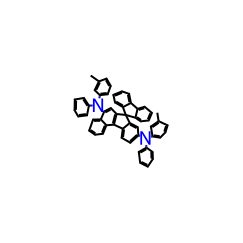 Cc1cccc(N(c2ccccc2)c2ccc3c(c2)C2(c4ccccc4-c4ccccc42)c2cc(N(c4ccccc4)c4cccc(C)c4)c4ccccc4c2-3)c1